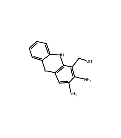 Nc1cc2c(c(CO)c1N)Nc1ccccc1S2